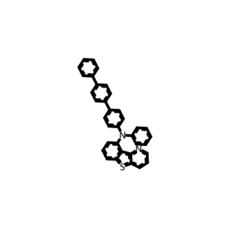 c1ccc(-c2ccc(-c3ccc(N(c4ccccc4)c4cccc5sc6cccnc6c45)cc3)cc2)cc1